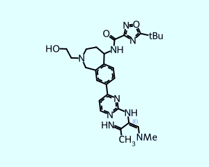 CN/C=C(/Nc1nccc(-c2ccc3c(c2)CN(CCO)CCC3NC(=O)c2noc(C(C)(C)C)n2)n1)C(C)=N